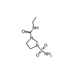 CCNC(=O)N1CCN(S(N)(=O)=O)C1